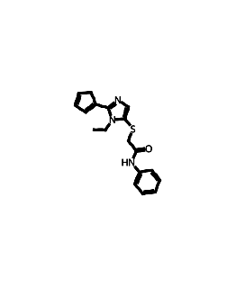 CCn1c(SCC(=O)Nc2ccccc2)cnc1C1=CC=CC1